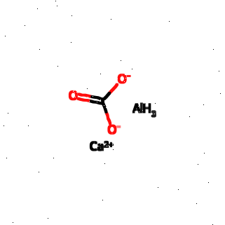 O=C([O-])[O-].[AlH3].[Ca+2]